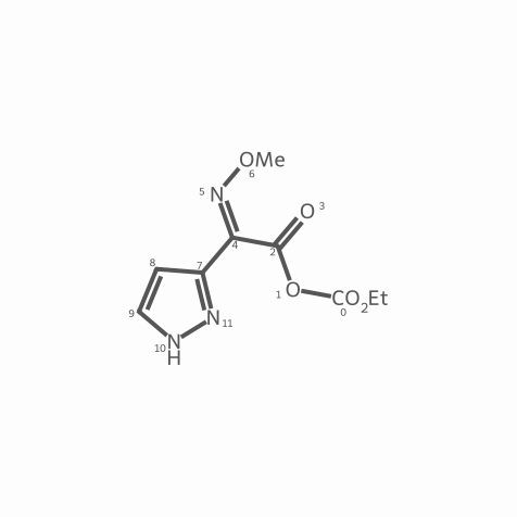 CCOC(=O)OC(=O)C(=NOC)c1cc[nH]n1